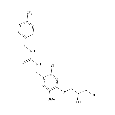 COc1cc(CNC(=O)NCc2ccc(C(F)(F)F)cc2)c(Cl)cc1OC[C@H](O)CO